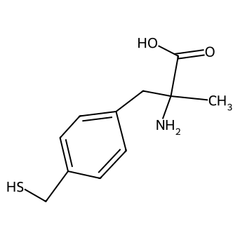 CC(N)(Cc1ccc(CS)cc1)C(=O)O